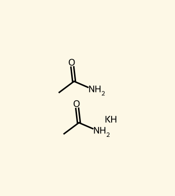 CC(N)=O.CC(N)=O.[KH]